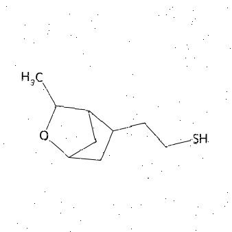 CC1OC2CC(CCS)C1C2